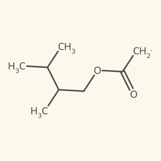 [CH2]C(=O)OCC(C)C(C)C